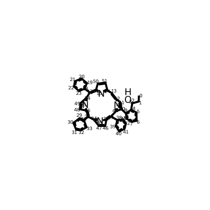 CCC(O)c1ccccc1C1=CC2=CC3=NC(=C(c4ccccc4)C4=NC(=C(c5ccccc5)C5=NC(=C(c6ccccc6)C1=N2)C=C5)C=C4)C=C3